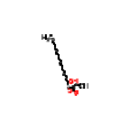 C#CC[C@H]1C(=O)O[C@@H]1CC(O)CCCCCCCCCCCCCCCCC